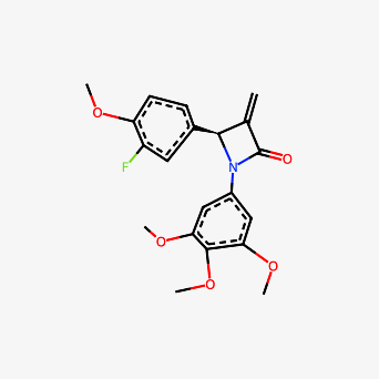 C=C1C(=O)N(c2cc(OC)c(OC)c(OC)c2)[C@H]1c1ccc(OC)c(F)c1